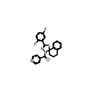 O=C(c1ccncc1)N1N=C(c2cc(F)ccc2F)SC12CCCc1ccccc12